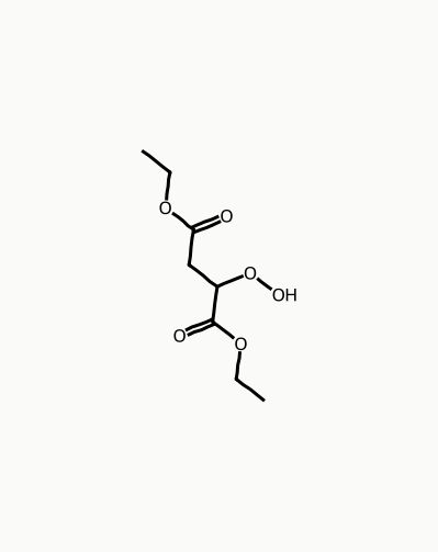 CCOC(=O)CC(OO)C(=O)OCC